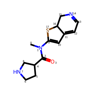 CN(C(=O)C1CCNC1)C1=CC2=CC=NCC2S1